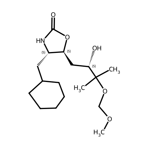 COCOC(C)(C)[C@@H](O)C[C@@H]1OC(=O)N[C@H]1CC1CCCCC1